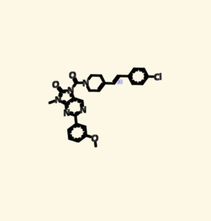 COc1cccc(-c2ncc3c(n2)n(C)c(=O)n3C(=O)N2CC=C(/C=C/c3ccc(Cl)cc3)CC2)c1